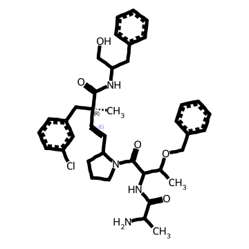 CC(N)C(=O)NC(C(=O)N1CCCC1/C=C/[C@@](C)(Cc1cccc(Cl)c1)C(=O)NC(CO)Cc1ccccc1)C(C)OCc1ccccc1